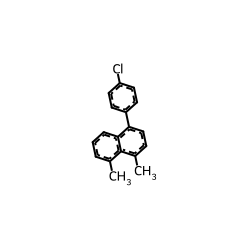 Cc1cccc2c(-c3ccc(Cl)cc3)ccc(C)c12